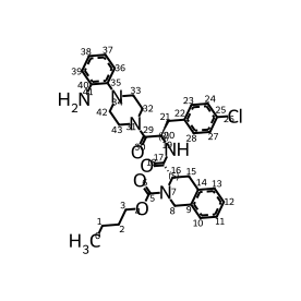 CCCCOC(=O)N1Cc2ccccc2C[C@H]1C(=O)N[C@H](Cc1ccc(Cl)cc1)C(=O)N1CCN(c2ccccc2N)CC1